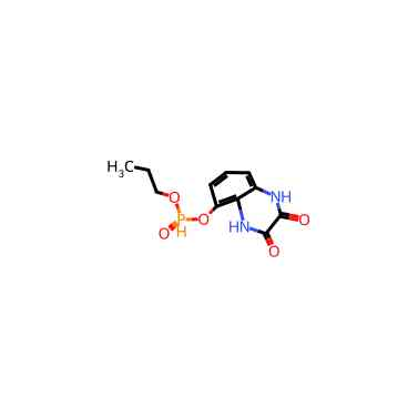 CCCO[PH](=O)Oc1cccc2[nH]c(=O)c(=O)[nH]c12